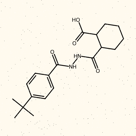 CC(C)(C)c1ccc(C(=O)NNC(=O)C2CCCCC2C(=O)O)cc1